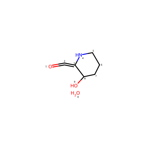 O.O=C=C1NCCCC1O